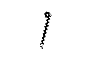 CSCCCCCCCCCCCCCCCC1CCCCO1